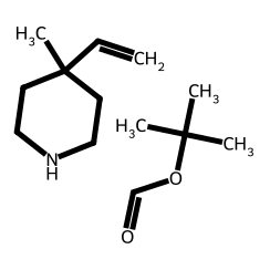 C=CC1(C)CCNCC1.CC(C)(C)OC=O